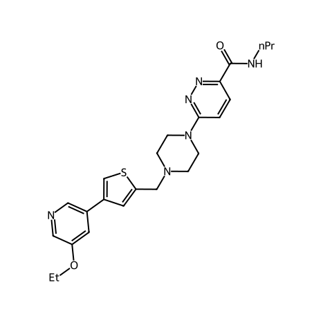 CCCNC(=O)c1ccc(N2CCN(Cc3cc(-c4cncc(OCC)c4)cs3)CC2)nn1